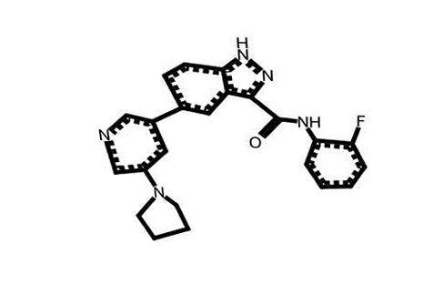 O=C(Nc1ccccc1F)c1n[nH]c2ccc(-c3cncc(N4CCCC4)c3)cc12